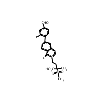 CC(CCn1ccc2cc(-c3ccc(C=O)cc3F)ccc2c1=O)(C(=O)O)S(C)(=O)=O